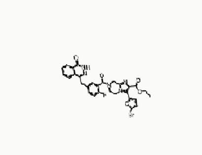 CCOC(=O)c1nc2n(c1-c1ccc(Br)o1)CCN(C(=O)c1cc(Cc3n[nH]c(=O)c4ccccc34)ccc1F)C2